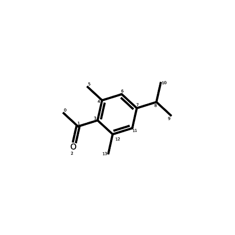 CC(=O)c1c(C)cc(C(C)C)cc1C